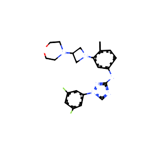 Cc1ccc(Nc2ncn(-c3cc(F)cc(F)c3)n2)cc1N1CC(N2CCOCC2)C1